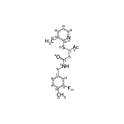 CC(=O)C(CC(=O)NCc1ccc(C)c(F)c1)Sc1ncccc1C